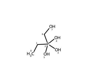 CCP(O)(O)(O)CO